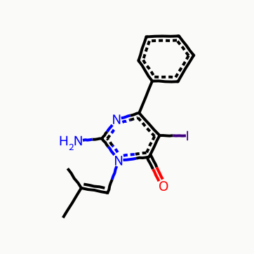 CC(C)=Cn1c(N)nc(-c2ccccc2)c(I)c1=O